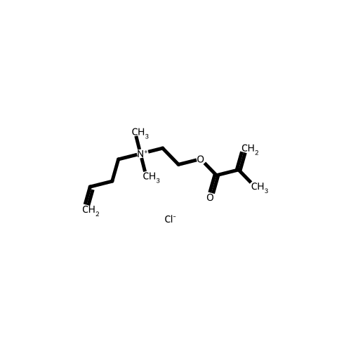 C=CCC[N+](C)(C)CCOC(=O)C(=C)C.[Cl-]